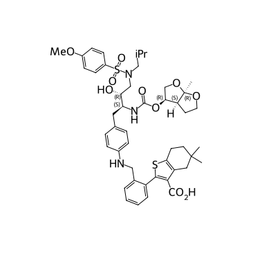 COc1ccc(S(=O)(=O)N(CC(C)C)C[C@@H](O)[C@H](Cc2ccc(NCc3ccccc3-c3sc4c(c3C(=O)O)CC(C)(C)CC4)cc2)NC(=O)O[C@H]2CO[C@@]3(C)OCC[C@@H]23)cc1